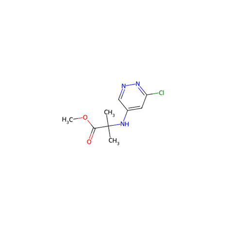 COC(=O)C(C)(C)Nc1cnnc(Cl)c1